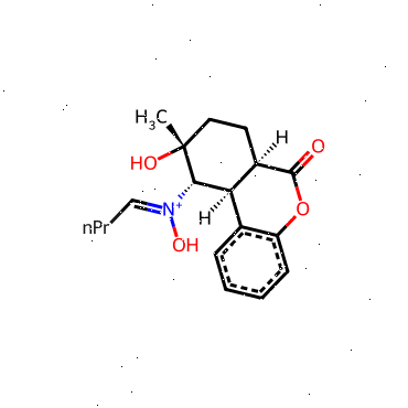 CCC/C=[N+](\O)[C@H]1[C@@H]2c3ccccc3OC(=O)[C@@H]2CC[C@@]1(C)O